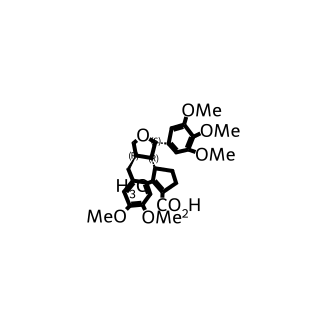 COc1ccc(C[C@H]2CO[C@H](c3cc(OC)c(OC)c(OC)c3)[C@@H]2C2CCC(C(=O)O)=C2C)cc1OC